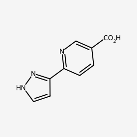 O=C(O)c1ccc(-c2cc[nH]n2)nc1